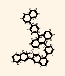 c1cc(-c2cccc3cc4c(cc23)oc2cc3ccccc3cc24)cc(-c2c3ccccc3c(-c3ccc(-c4cccc5ccccc45)cc3)c3ccccc23)c1